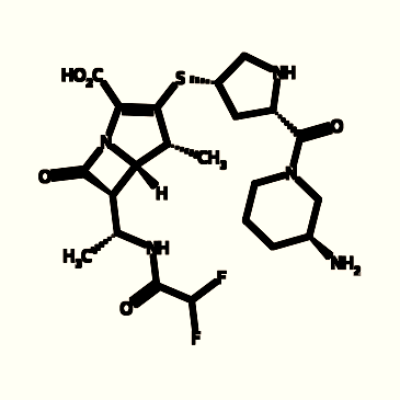 C[C@@H](NC(=O)C(F)F)[C@H]1C(=O)N2C(C(=O)O)=C(S[C@@H]3CN[C@H](C(=O)N4CCC[C@H](N)C4)C3)[C@H](C)[C@H]12